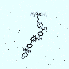 CN(C)CCCN1CCN(C(=O)c2ccc(Nc3nccc(-c4ccc(S(=O)(=O)N5CCOCC5)cc4)n3)cc2)CC1